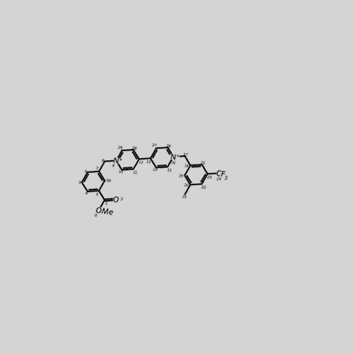 COC(=O)c1cccc(C[n+]2ccc(-c3cc[n+](Cc4cc(C)cc(C(F)(F)F)c4)cc3)cc2)c1